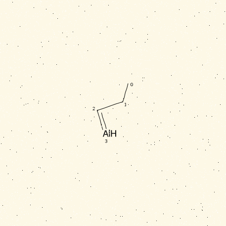 CC[CH]=[AlH]